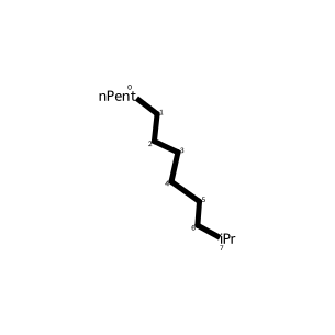 CCCCCCCCCCCC(C)C